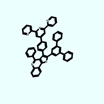 c1ccc(-c2cc(-c3ccccc3)cc(-c3sc4c(c(-c5ccccc5)nc5ccccc54)c3-c3ccc(-c4cc(-c5ccccn5)nc(-c5ccccn5)c4)cc3)c2)cc1